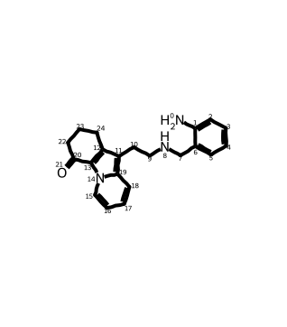 Nc1ccccc1CNCCc1c2c(n3ccccc13)C(=O)CCC2